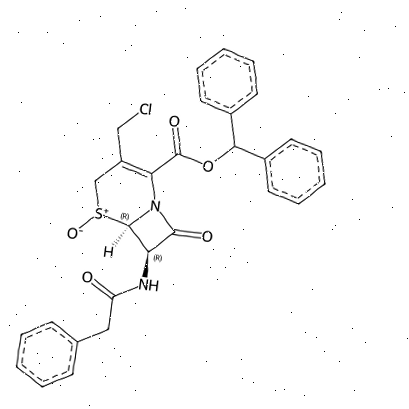 O=C(Cc1ccccc1)N[C@@H]1C(=O)N2C(C(=O)OC(c3ccccc3)c3ccccc3)=C(CCl)C[S+]([O-])[C@H]12